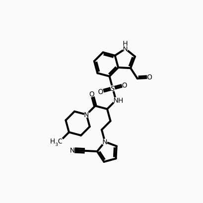 CC1CCN(C(=O)C(CCn2cccc2C#N)NS(=O)(=O)c2cccc3[nH]cc(C=O)c23)CC1